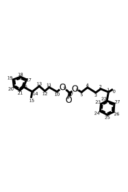 CC(CCCCOC(=O)OCCCCC(C)c1ccccc1)c1ccccc1